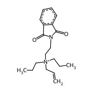 C=CC[N+](CCC)(CCC)CCN1C(=O)c2ccccc2C1=O